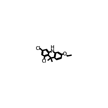 CCOc1ccc2c(c1)Nc1cc(Cl)cc(Cl)c1C2(C)C